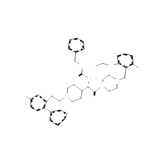 CCOc1cccc(F)c1CN1CCN(C(=O)[C@H](NC(=O)OCc2ccccc2)C2CCN(CCc3cc(F)ccc3-c3ccccc3)CC2)CC1